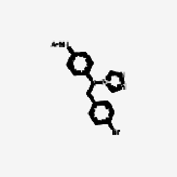 CC(=O)Nc1ccc(N(Cc2ccc(Br)cc2)n2cnnc2)cc1